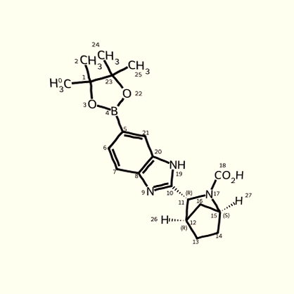 CC1(C)OB(c2ccc3nc([C@H]4[C@@H]5CC[C@@H](C5)N4C(=O)O)[nH]c3c2)OC1(C)C